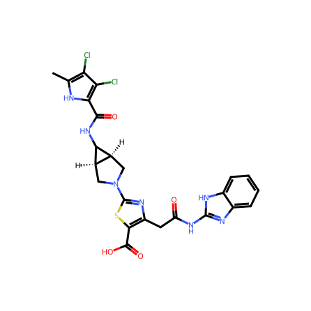 Cc1[nH]c(C(=O)NC2[C@H]3CN(c4nc(CC(=O)Nc5nc6ccccc6[nH]5)c(C(=O)O)s4)C[C@@H]23)c(Cl)c1Cl